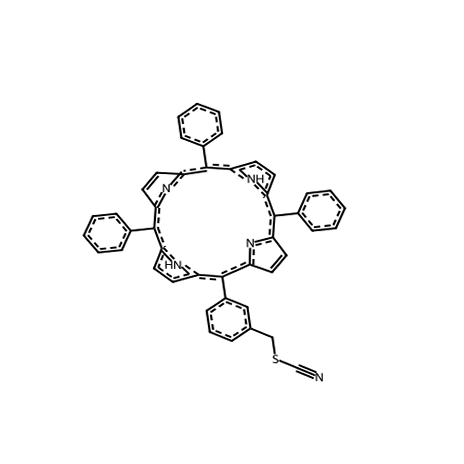 N#CSCc1cccc(-c2c3nc(c(-c4ccccc4)c4ccc([nH]4)c(-c4ccccc4)c4nc(c(-c5ccccc5)c5ccc2[nH]5)C=C4)C=C3)c1